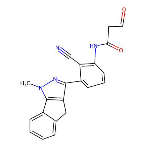 Cn1nc(-c2cccc(NC(=O)CC=O)c2C#N)c2c1-c1ccccc1C2